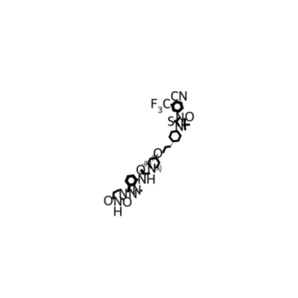 C[C@@H]1C[C@H](OCCC[C@H]2CC[C@H](N3C(=S)N(c4ccc(C#N)c(C(F)(F)F)c4)C(=O)C3(C)C)CC2)C[C@H](C)N1CC(=O)Nc1cccc2c(N3CCC(=O)NC3=O)nn(C)c12